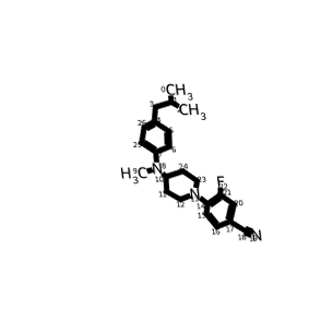 CC(C)Cc1ccc(N(C)C2CCN(c3ccc(C#N)cc3F)CC2)cc1